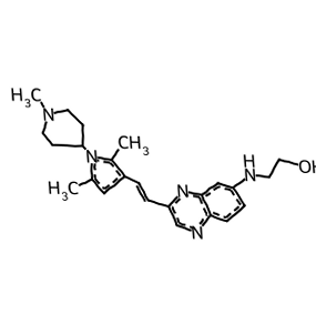 Cc1cc(C=Cc2cnc3ccc(NCCO)cc3n2)c(C)n1C1CCN(C)CC1